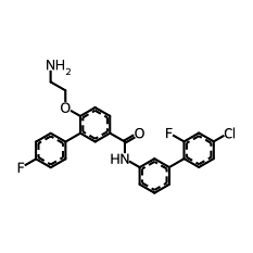 NCCOc1ccc(C(=O)Nc2cccc(-c3ccc(Cl)cc3F)c2)cc1-c1ccc(F)cc1